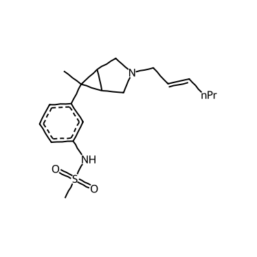 CCCC=CCN1CC2C(C1)C2(C)c1cccc(NS(C)(=O)=O)c1